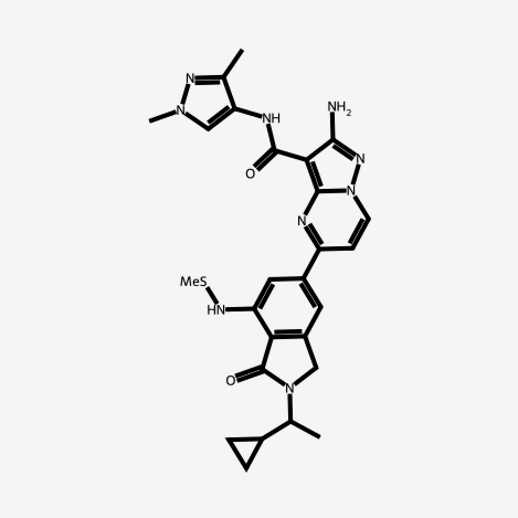 CSNc1cc(-c2ccn3nc(N)c(C(=O)Nc4cn(C)nc4C)c3n2)cc2c1C(=O)N(C(C)C1CC1)C2